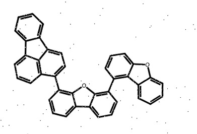 c1ccc2c(c1)-c1cccc3c(-c4cccc5c4oc4c(-c6cccc7oc8ccccc8c67)cccc45)ccc-2c13